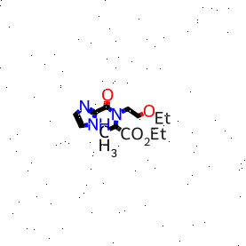 CCOCCN(C(=O)c1ncc[nH]1)C(C)C(=O)OCC